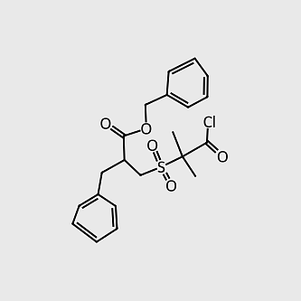 CC(C)(C(=O)Cl)S(=O)(=O)CC(Cc1ccccc1)C(=O)OCc1ccccc1